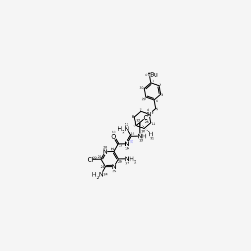 CC(C)(C)c1ccc(C[N+]23CCC(CC2)[C@H](N/C(N)=N/C(=O)c2nc(Cl)c(N)nc2N)C3)cc1